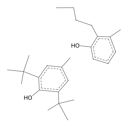 CCCCc1c(C)cccc1O.Cc1cc(C(C)(C)C)c(O)c(C(C)(C)C)c1